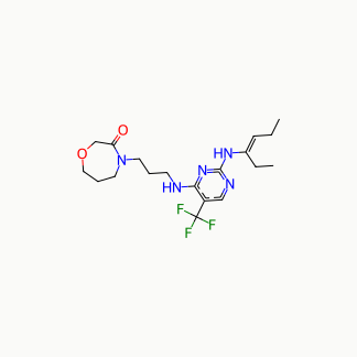 CC/C=C(\CC)Nc1ncc(C(F)(F)F)c(NCCCN2CCCOCC2=O)n1